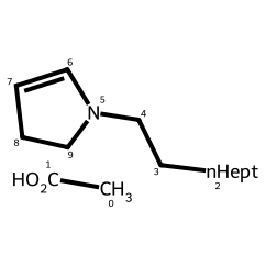 CC(=O)O.CCCCCCCCCN1C=CCC1